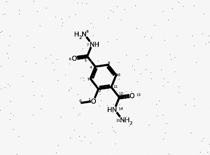 COc1cc(C(=O)NN)ccc1C(=O)NN